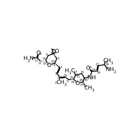 CC(C=C[C@@H]1C[C@]2(CO2)C[C@@H](CC(N)=O)O1)=CC[C@@H]1O[C@H](C)[C@H](NC(=O)C=CC(C)N)C[C@@H]1C